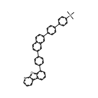 C[Si](C)(C)c1ccc(-c2ccc(-c3ccc4ccc(-c5ccc(-c6cccc7c6oc6ncccc67)cc5)cc4c3)cc2)cc1